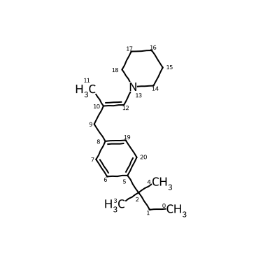 CCC(C)(C)c1ccc(CC(C)=CN2CCCCC2)cc1